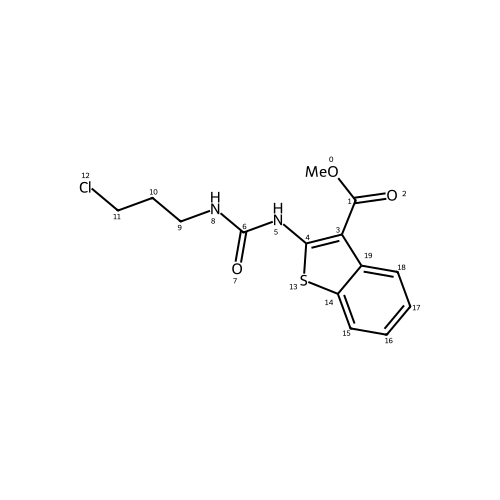 COC(=O)c1c(NC(=O)NCCCCl)sc2ccccc12